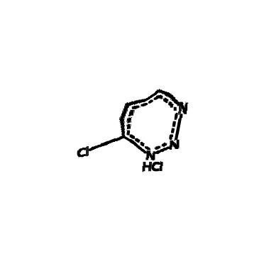 Cl.Clc1ccnnn1